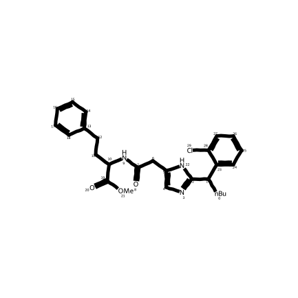 CCCCC(c1ncc(CC(=O)NC(CCc2ccccc2)C(=O)OC)[nH]1)c1ccccc1Cl